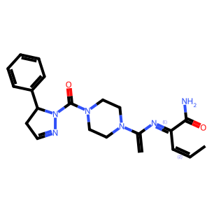 C=C(/N=C(\C=C/C)C(N)=O)N1CCN(C(=O)N2N=CCC2c2ccccc2)CC1